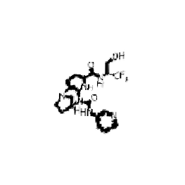 O=C(N[C@@H](CO)C(F)(F)F)C1C=CC2=C(N1)N(C(=O)Nc1cccnc1)[C@H]1CCN2C1